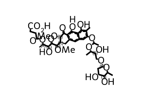 CO[C@@H]1C(=O)c2c(cc3cc(OC(C)OC(C)[C@@H](O)CO[C@H]4CC(O)[C@H](O)C(C)O4)c(C)c(O)c3c2O)C[C@H]1[C@H](OC)C(=O)[C@@H](O)[C@@H](C)OC(=O)CCC(=O)O